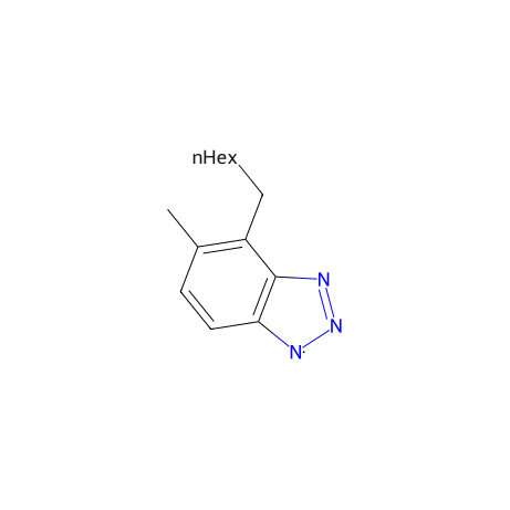 CCCCCCCc1c(C)ccc2c1N=N[N]2